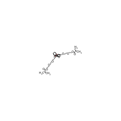 C=C(C)C(=O)OCCOCCOCCOC1=CC2=CC=C1C2C1(C)C2=CC=C1C(OCCOCCOCCOC(=O)C(=C)C)=C2